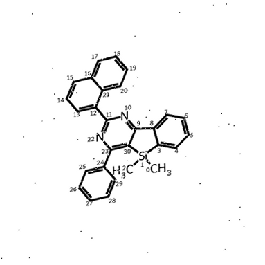 C[Si]1(C)c2ccccc2-c2nc(-c3cccc4ccccc34)nc(-c3ccccc3)c21